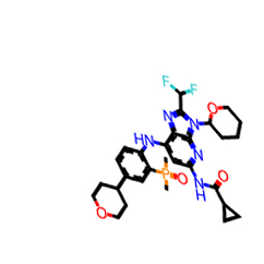 CP(C)(=O)c1cc(C2CCOCC2)ccc1Nc1cc(NC(=O)C2CC2)nc2c1nc(C(F)F)n2C1CCCCO1